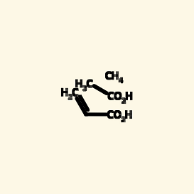 C.C=CC(=O)O.CC(=O)O